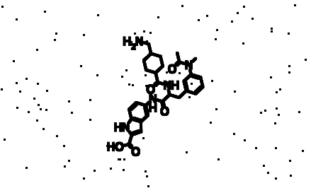 CC(=O)N(C)c1cccc(CC(NC(=O)C2CCC(CN)CC2)C(=O)Nc2ccc3[nH]c(C(=O)O)cc3c2)c1